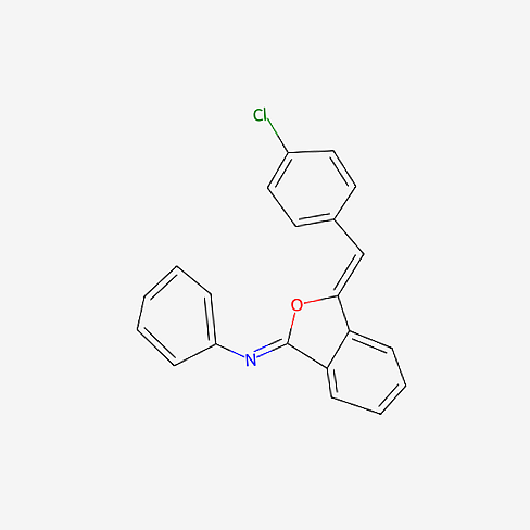 Clc1ccc(/C=C2\O/C(=N\c3ccccc3)c3ccccc32)cc1